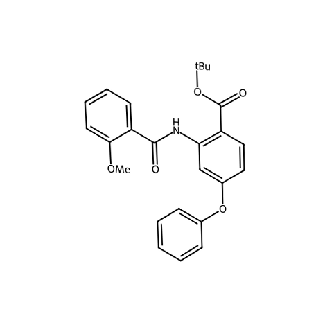 COc1ccccc1C(=O)Nc1cc(Oc2ccccc2)ccc1C(=O)OC(C)(C)C